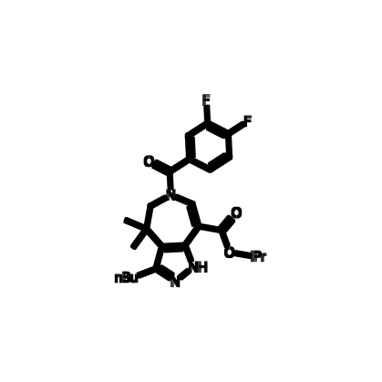 CCCCc1n[nH]c2c1C(C)(C)CN(C(=O)c1ccc(F)c(F)c1)C=C2C(=O)OC(C)C